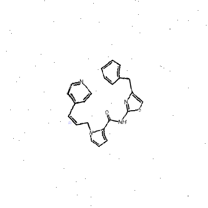 O=C(Nc1nc(Cc2ccccc2)cs1)c1cccn1C/C=C\c1ccncc1